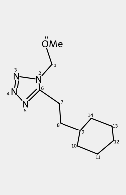 COCn1nnnc1CCC1CCCCC1